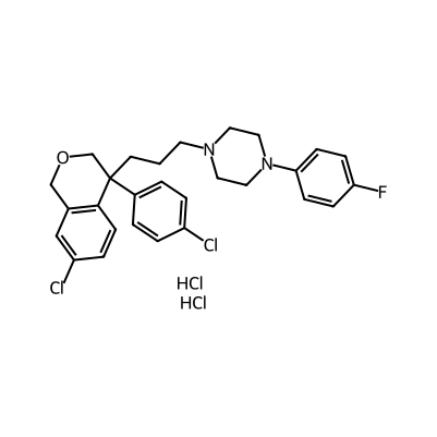 Cl.Cl.Fc1ccc(N2CCN(CCCC3(c4ccc(Cl)cc4)COCc4cc(Cl)ccc43)CC2)cc1